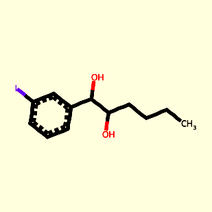 CCCCC(O)C(O)c1cccc(I)c1